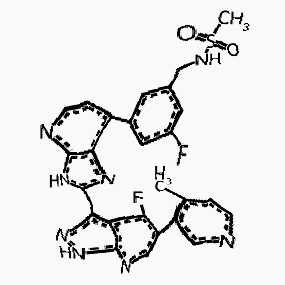 Cc1ccncc1-c1cnc2[nH]nc(-c3nc4c(-c5cc(F)cc(CNS(C)(=O)=O)c5)ccnc4[nH]3)c2c1F